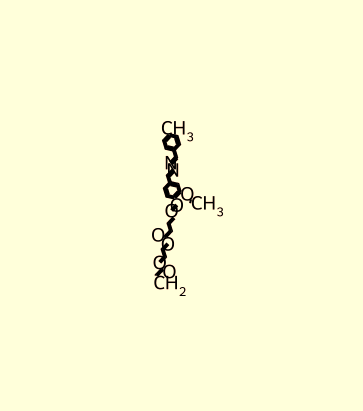 C=CC(=O)OCCOC(=O)CCCOOc1ccc(/C=N/N=C/c2ccc(C)cc2)cc1OCC